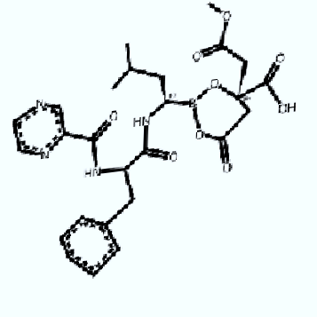 COC(=O)C[C@@]1(C(=O)O)CC(=O)OB([C@H](CC(C)C)NC(=O)C(Cc2ccccc2)NC(=O)c2cnccn2)O1